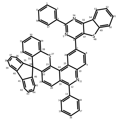 c1ccc(-c2nc(-c3ccc4nc(-c5ccccc5)c5ccc6c(c5c4c3)Sc3ccccc3C63c4ccccc4-c4ccccc43)c3sc4ccccc4c3n2)cc1